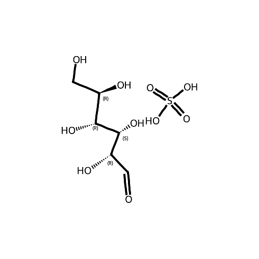 O=C[C@H](O)[C@@H](O)[C@H](O)[C@H](O)CO.O=S(=O)(O)O